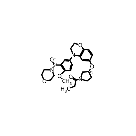 CCC(=O)N1CC[C@H](Oc2ccc3c(c2)N(c2ccc(OC)c([S+]([O-])N4CCOCC4)c2)CCO3)C1